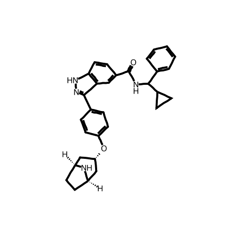 O=C(NC(c1ccccc1)C1CC1)c1ccc2[nH]nc(-c3ccc(O[C@@H]4C[C@H]5CC[C@@H](C4)N5)cc3)c2c1